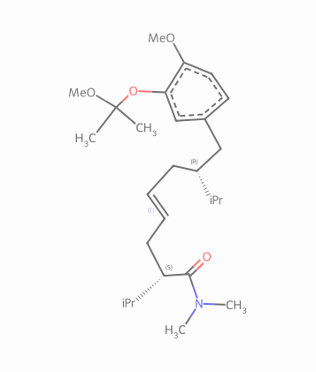 COc1ccc(C[C@@H](C/C=C/C[C@H](C(=O)N(C)C)C(C)C)C(C)C)cc1OC(C)(C)OC